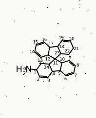 NC1C=CC2C3C=CC=CC3C3(C4C=CC=CC4C4C=CCCC43)C2C1